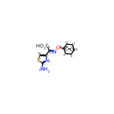 Nc1nc(/C(=N/OC23CCC(CC2)CC3)C(=O)O)cs1